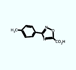 Cc1ccc(-c2noc(C(=O)O)n2)cc1